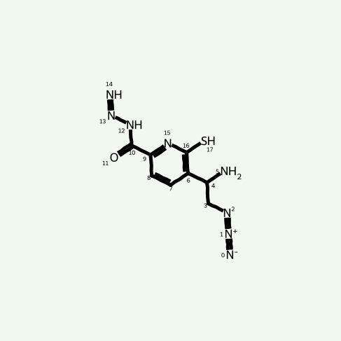 [N-]=[N+]=NCC(N)c1ccc(C(=O)NN=N)nc1S